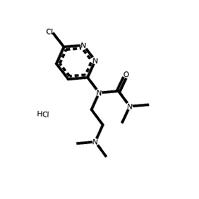 CN(C)CCN(C(=O)N(C)C)c1ccc(Cl)nn1.Cl